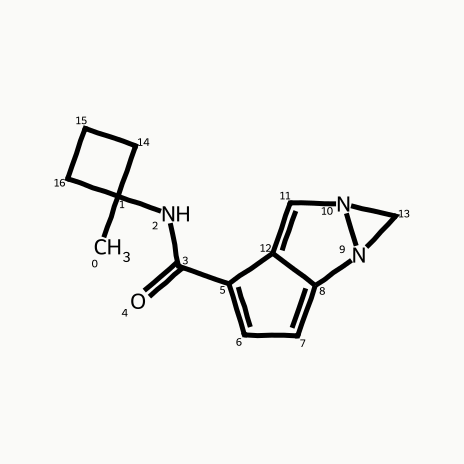 CC1(NC(=O)c2ccc3n4n(cc2-3)C4)CCC1